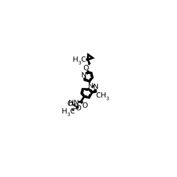 Cc1nn(-c2ccc(OCC3(C)CC3)nc2)c2ccc(C(=O)NS(C)(=O)=O)cc12